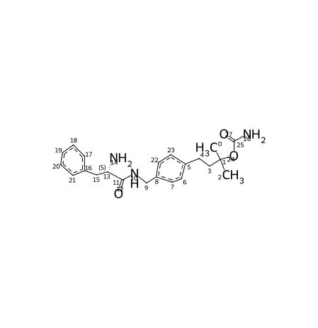 CC(C)(CCc1ccc(CNC(=O)[C@@H](N)Cc2ccccc2)cc1)OC(N)=O